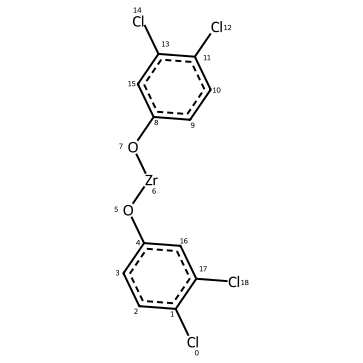 Clc1ccc([O][Zr][O]c2ccc(Cl)c(Cl)c2)cc1Cl